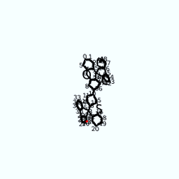 c1ccc2c(c1)Oc1cc(-c3ccc4c(c3)Sc3ccccc3C43c4ccccc4-c4ccccc43)ccc1C21c2ccccc2-c2ccccc21